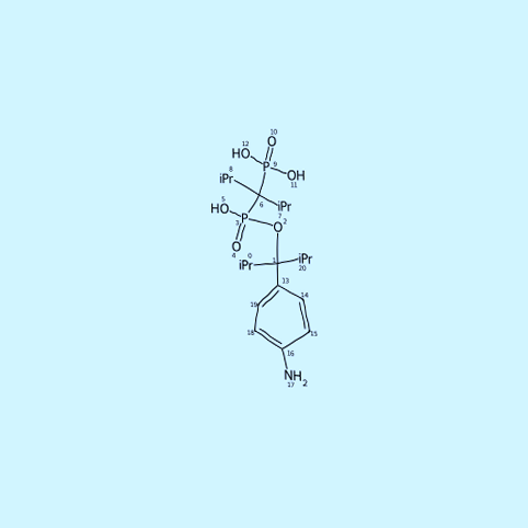 CC(C)C(OP(=O)(O)C(C(C)C)(C(C)C)P(=O)(O)O)(c1ccc(N)cc1)C(C)C